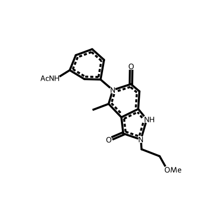 COCCn1[nH]c2cc(=O)n(-c3cccc(NC(C)=O)c3)c(C)c2c1=O